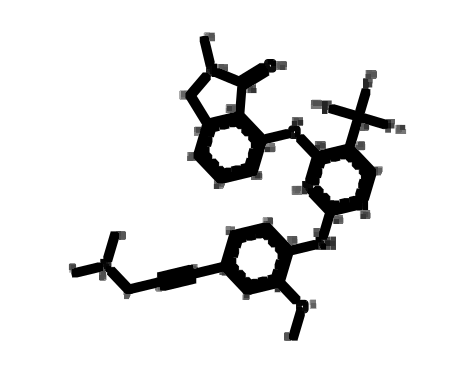 COc1cc(C#CCN(C)C)ccc1Nc1ncc(C(F)(F)F)c(Oc2cccc3c2C(=O)N(C)C3)n1